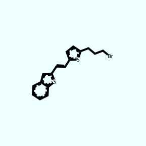 BrCCCc1ccc(/C=C/c2cc3ccccc3s2)s1